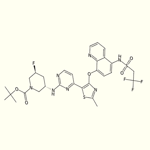 Cc1nc(Oc2ccc(NS(=O)(=O)CC(F)(F)F)c3cccnc23)c(-c2ccnc(N[C@H]3C[C@H](F)CN(C(=O)OC(C)(C)C)C3)n2)s1